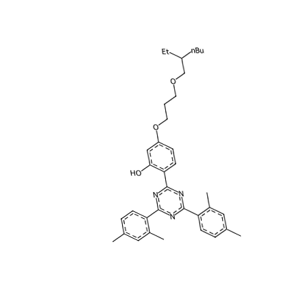 CCCCC(CC)COCCCOc1ccc(-c2nc(-c3ccc(C)cc3C)nc(-c3ccc(C)cc3C)n2)c(O)c1